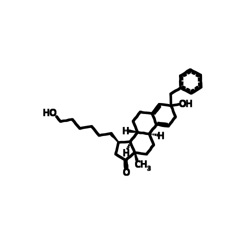 C[C@]12CC[C@@H]3C4=CCC(O)(Cc5ccccc5)C=C4CC[C@H]3[C@@H]1[C@H](CCCCCCO)CC2=O